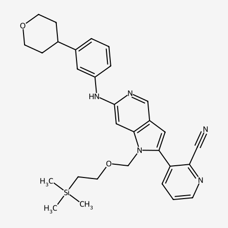 C[Si](C)(C)CCOCn1c(-c2cccnc2C#N)cc2cnc(Nc3cccc(C4CCOCC4)c3)cc21